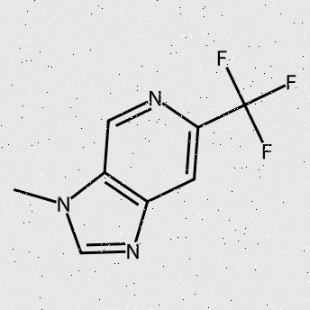 Cn1cnc2cc(C(F)(F)F)ncc21